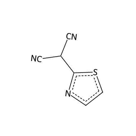 N#CC(C#N)c1nccs1